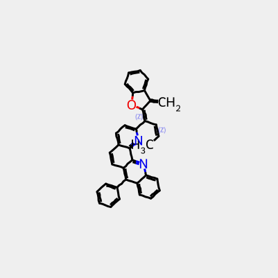 C=c1/c(=C(\C=C/C)c2ccc3ccc4c(-c5ccccc5)c5ccccc5nc4c3n2)oc2ccccc12